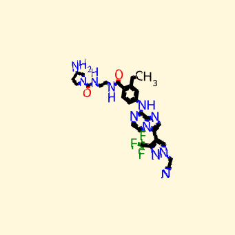 CCc1cc(Nc2nccn3c(-c4cn(CC#N)nc4C(F)(F)F)cnc23)ccc1C(=O)NCCNC(=O)N1CCC(N)C1